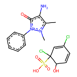 Cc1c(N)c(=O)n(-c2ccccc2)n1C.O=S(=O)(O)C1(Cl)C=C(Cl)C=CC1O